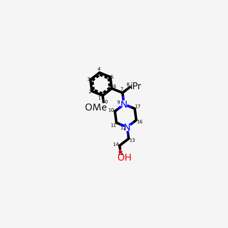 COc1ccccc1C(C(C)C)N1CCN(CCO)CC1